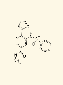 NNC(=O)c1ccc(-c2ccco2)c(NS(=O)(=O)c2ccccc2)c1